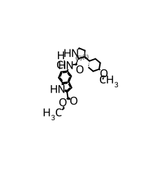 CCOC(=O)c1cc2cc(NC(=O)[C@H]3NCC[C@H]3[C@H]3CC[C@H](OC)CC3)ccc2[nH]1.Cl